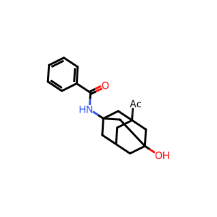 CC(=O)C12CC3CC(O)(CC(NC(=O)c4ccccc4)(C3)C1)C2